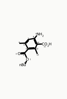 CCCCOC(=O)c1c(C)cc(N)c(C(=O)O)c1C